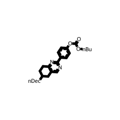 CCCCCCCCCCC1CCc2nc(-c3ccc(OC(=O)OCCCC)cc3)ncc2C1